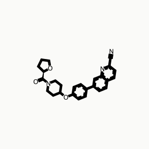 N#Cc1ccc2ccc(-c3ccc(OC4CCN(C(=O)[C@H]5CCCO5)CC4)cc3)cc2n1